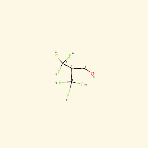 [O]CC(C(F)(F)F)C(F)(F)F